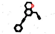 C#CCc1cc(C#Cc2ccccc2)cc2c1OCCC2